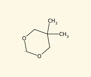 CC1(C)CO[CH]OC1